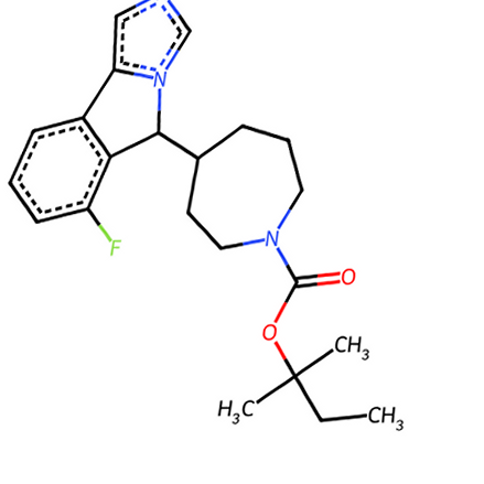 CCC(C)(C)OC(=O)N1CCCC(C2c3c(F)cccc3-c3cncn32)CC1